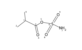 CC(C)C(=O)OS(N)(=O)=O